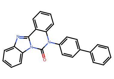 O=c1n(-c2ccc(-c3ccccc3)cc2)c2ccccc2c2nc3ccccc3n12